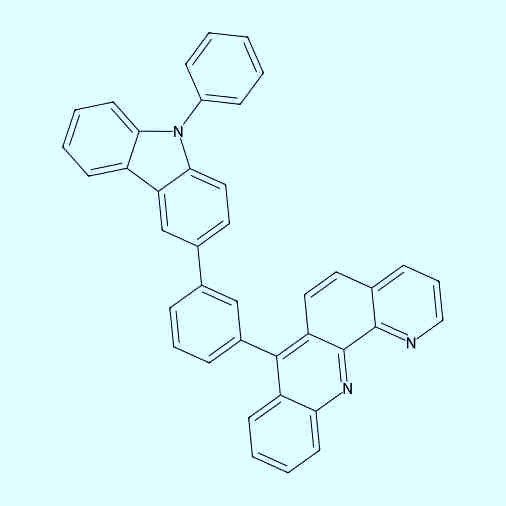 c1ccc(-n2c3ccccc3c3cc(-c4cccc(-c5c6ccccc6nc6c5ccc5cccnc56)c4)ccc32)cc1